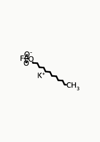 CCCCCCCCCCCCOP(=O)([O-])F.[K+]